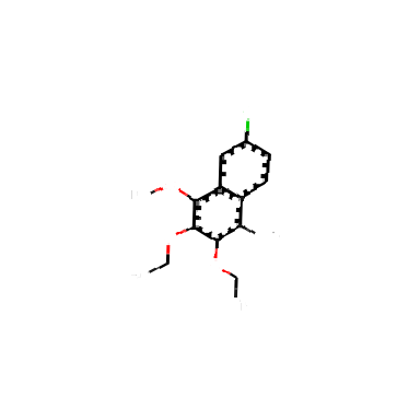 CCCCOc1c(OCC(C)(C)C)c(OCC(C)(C)C)c(OC(C)=O)c2ccc(Cl)cc12